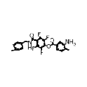 Cc1ccc(CNC(=O)c2c(F)c(F)c(OC(=O)c3ccc(C)c(N)c3)c(F)c2F)cc1